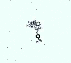 NP(=O)(NS(=O)(=O)O)N1CCC[C@@H](NC(=O)OCc2ccc([N+](=O)[O-])cc2)C1=O